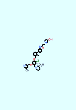 Cc1c(COc2cc(OCc3cncc(C#N)c3)c(CN3CCCCC3C(=O)O)cc2Cl)cccc1-c1ccc2oc(CCN3CC[C@@H](O)C3)nc2c1